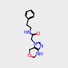 O=C(Cn1cnc2c1COCN2)NCCc1ccccc1